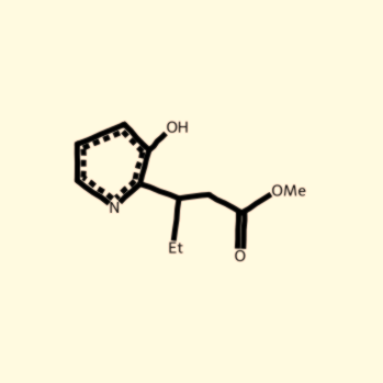 CCC(CC(=O)OC)c1ncccc1O